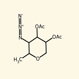 CC(=O)OC1COC(C)C(N=[N+]=[N-])C1OC(C)=O